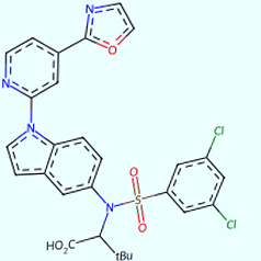 CC(C)(C)C(C(=O)O)N(c1ccc2c(ccn2-c2cc(-c3ncco3)ccn2)c1)S(=O)(=O)c1cc(Cl)cc(Cl)c1